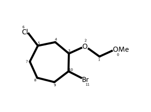 COCOC1CC(Cl)CCCC1Br